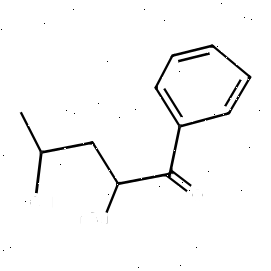 CCCCC(CC(C)O)C(=O)c1ccccc1